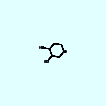 [NH]C1CCNCC1O